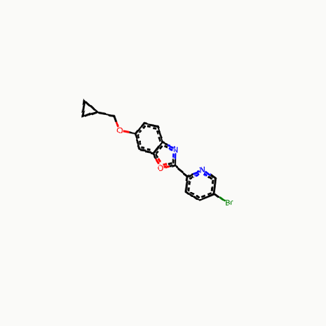 Brc1ccc(-c2nc3ccc(OCC4CC4)cc3o2)nc1